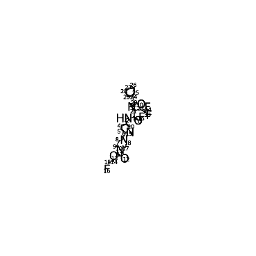 O=C(Nc1ccc(N2CCN(C(=O)OCCF)CC2)nc1)C1N=C(c2ccccc2)OC1C(F)(F)F